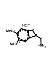 COc1cc2c(cc1OC)C(CN)C2.Cl